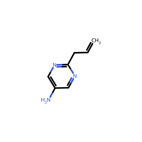 C=CCc1ncc(N)cn1